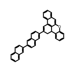 C1=C(c2ccc3cc(-c4ccc5ccccc5c4)ccc3c2)CC2c3ccccc3Oc3cc4ccccc4c1c32